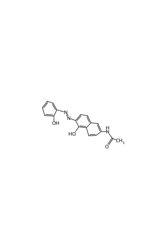 CC(=O)Nc1ccc2c(O)c(N=Nc3ccccc3O)ccc2c1